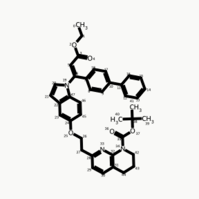 CCOC(=O)C=C(c1ccc(-c2ccccc2)cc1)n1ccc2cc(OCCc3ccc4c(n3)N(C(=O)OC(C)(C)C)CCC4)ccc21